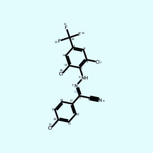 N#C/C(=N\Nc1c(Cl)cc(C(F)(F)F)cc1Cl)c1ccc(Cl)cc1